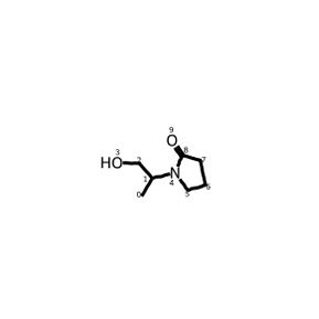 CC(CO)N1CCCC1=O